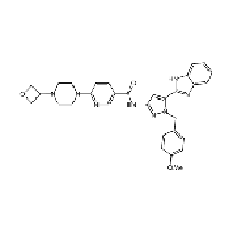 COc1ccc(Cn2nc(NC(=O)c3ccc(N4CCN(C5COC5)CC4)nc3)cc2-c2nc3ccccc3[nH]2)cc1